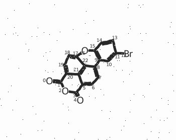 O=c1oc(=O)c2ccc3c4cc(Br)ccc4oc4ccc1c2c43